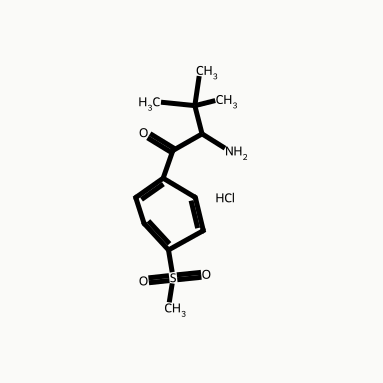 CC(C)(C)C(N)C(=O)c1ccc(S(C)(=O)=O)cc1.Cl